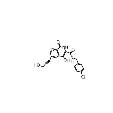 O=C(NCc1ccc(Cl)cc1)c1[nH]c(=O)c2ncc(C#CCO)cc2c1O